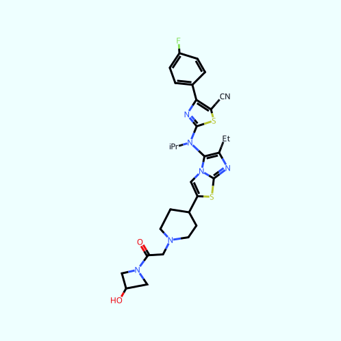 CCc1nc2sc(C3CCN(CC(=O)N4CC(O)C4)CC3)cn2c1N(c1nc(-c2ccc(F)cc2)c(C#N)s1)C(C)C